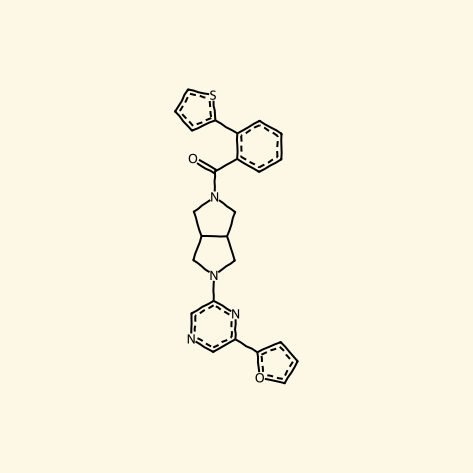 O=C(c1ccccc1-c1cccs1)N1CC2CN(c3cncc(-c4ccco4)n3)CC2C1